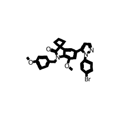 COc1ccc(CN2C(=O)C3(CCC3)c3cc(-c4ccnn4-c4ccc(Br)cc4)cc(OC)c32)cc1